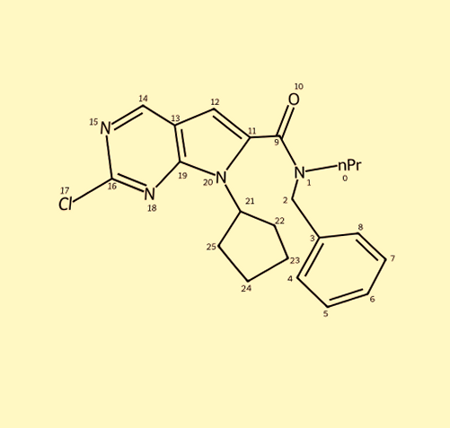 CCCN(Cc1ccccc1)C(=O)c1cc2cnc(Cl)nc2n1C1CCCC1